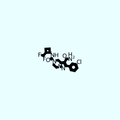 NC(=O)c1c(-c2cccc(Cl)c2)nn2c1CN(C(=O)N[C@@H]1CCC1C(F)F)CC2